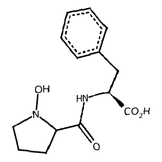 O=C(N[C@@H](Cc1ccccc1)C(=O)O)C1CCCN1O